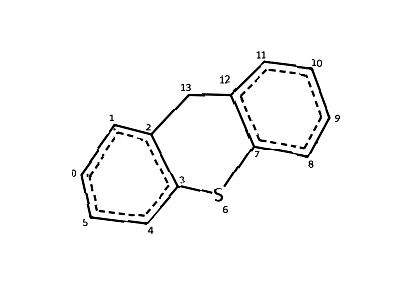 [c]1[c]c2c(cc1)Sc1ccccc1C2